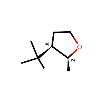 C[C@@H]1OCC[C@@H]1C(C)(C)C